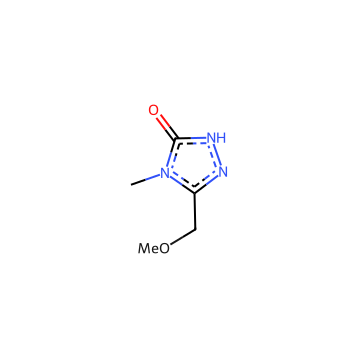 COCc1n[nH]c(=O)n1C